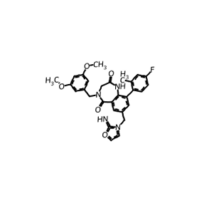 COc1cc(CN2CC(=O)Nc3c(cc(Cn4ccoc4=N)cc3-c3ccc(F)cc3C)C2=O)cc(OC)c1